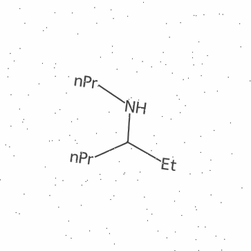 CCCNC(CC)CCC